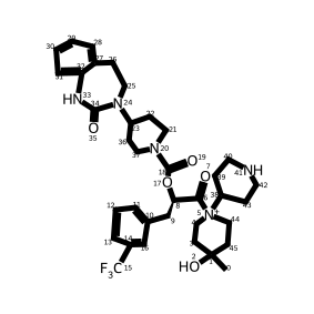 CC1(O)CC[N+](C(=O)[C@@H](Cc2cccc(C(F)(F)F)c2)OC(=O)N2CCC(N3CCc4ccccc4NC3=O)CC2)(C2CCNCC2)CC1